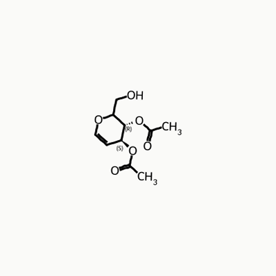 CC(=O)O[C@H]1C=COC(CO)[C@@H]1OC(C)=O